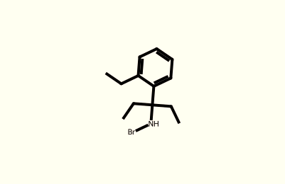 CCc1ccccc1C(CC)(CC)NBr